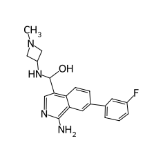 CN1CC(NC(O)c2cnc(N)c3cc(-c4cccc(F)c4)ccc23)C1